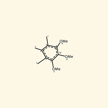 COc1c(C)c(C)c(C)c(OC)c1OC